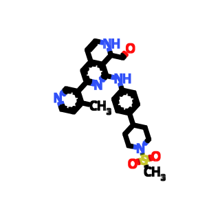 Cc1ccncc1-c1cc2c(c(Nc3ccc(C4CCN(S(C)(=O)=O)CC4)cc3)n1)C(C=O)NC=C2